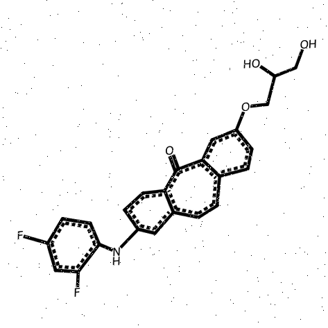 O=c1c2ccc(Nc3ccc(F)cc3F)cc2ccc2ccc(OCC(O)CO)cc12